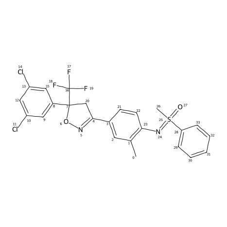 Cc1cc(C2=NOC(c3cc(Cl)cc(Cl)c3)(C(F)(F)F)C2)ccc1N=S(C)(=O)c1ccccc1